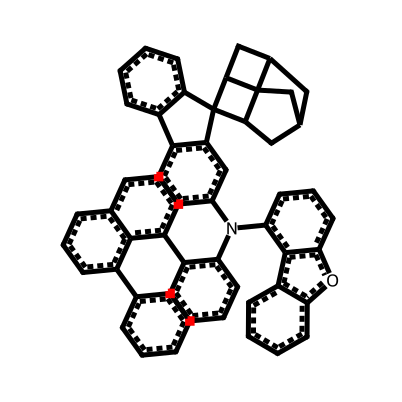 c1ccc(-c2cccc3cccc(-c4ccccc4N(c4ccc5c(c4)C4(c6ccccc6-5)C5CC6CC7CC4C75C6)c4cccc5oc6ccccc6c45)c23)cc1